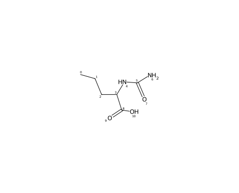 CCCC(NC(N)=O)C(=O)O